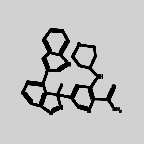 CC1(c2cnc(C(N)=O)c(NC3CCOCC3)c2)N=Nc2cccc(-c3cnc4ccccc4c3)c21